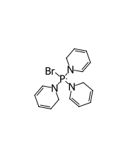 Br[P](N1C=CC=CC1)(N1C=CC=CC1)N1C=CC=CC1